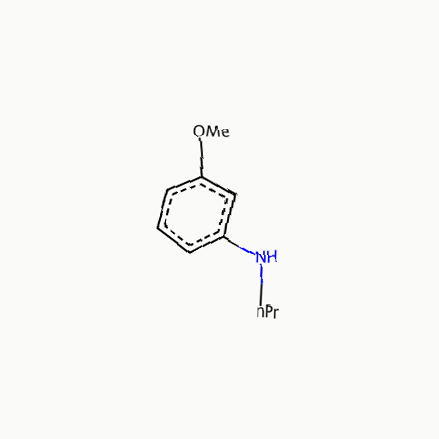 CCCNc1cccc(OC)c1